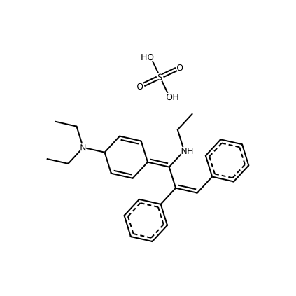 CCNC(C(=Cc1ccccc1)c1ccccc1)=C1C=CC(N(CC)CC)C=C1.O=S(=O)(O)O